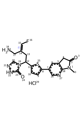 CN1C(=O)Cc2cc(-c3ccc(C(C/C(=C\F)CN)n4cn[nH]c4=O)s3)cnc21.Cl